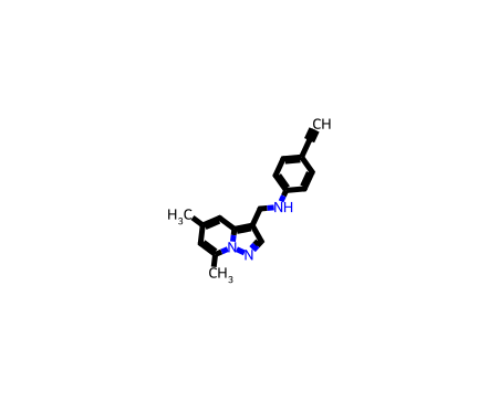 C#Cc1ccc(NCc2cnn3c(C)cc(C)cc23)cc1